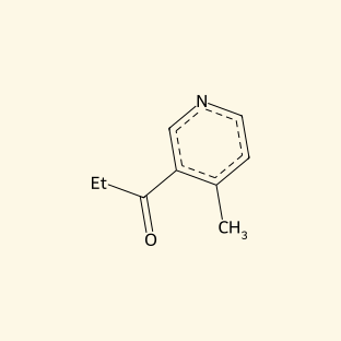 CCC(=O)c1cnccc1C